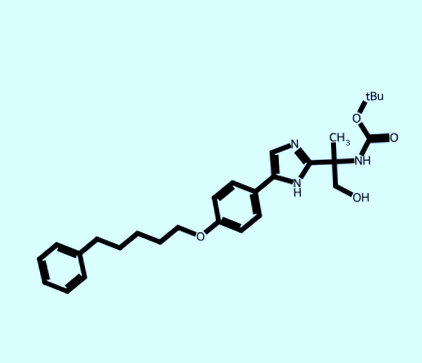 CC(C)(C)OC(=O)NC(C)(CO)c1ncc(-c2ccc(OCCCCCc3ccccc3)cc2)[nH]1